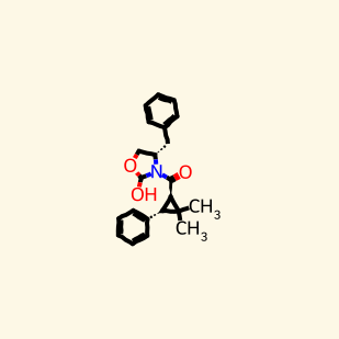 CC1(C)[C@H](C(=O)N2C(O)OC[C@@H]2Cc2ccccc2)[C@H]1c1ccccc1